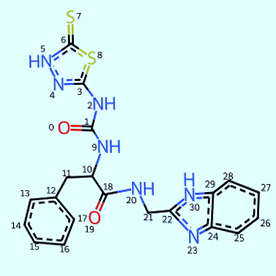 O=C(Nc1n[nH]c(=S)s1)NC(Cc1ccccc1)C(=O)NCc1nc2ccccc2[nH]1